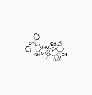 CC(=O)OC1C(=O)C2(C)C(O)CC3OCC3(OC(C)=O)[C@H]2[C@H](O)C2(O)C[C@H](OC(=O)[C@H](O)[C@@H](NC(=O)c3ccccc3)c3ccccc3)C(C)=C1C2(C)C